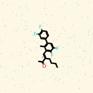 CCCC/C(=C\c1c(C)c(-c2ccc(F)c(F)c2)cc(F)c1F)C(C)=O